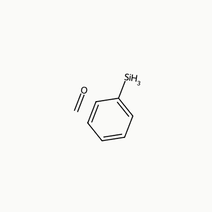 C=O.[SiH3]c1ccccc1